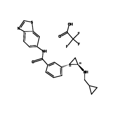 O=C(Nc1ccc2ncsc2c1)c1cccc([C@@H]2C[C@H]2NCC2CC2)c1.O=C(O)C(F)(F)F